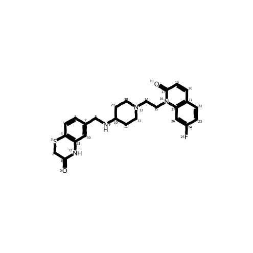 O=C1CSc2ccc(CNC3CCN(CCn4c(=O)ccc5ccc(F)cc54)CC3)cc2N1